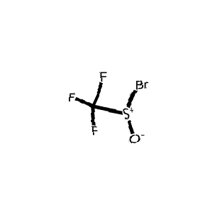 [O-][S+](Br)C(F)(F)F